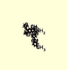 Cc1ccc2oc(C3CCN(c4c(C(N)=O)c(=O)n(C)c5cc(CC6CCOC6)c(C6(C(F)(F)F)CC6)cc45)CC3)nc2c1